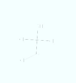 SC(Cl)(Cl)CCl